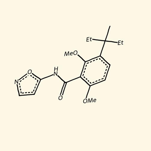 CCC(C)(CC)c1ccc(OC)c(C(=O)Nc2ccno2)c1OC